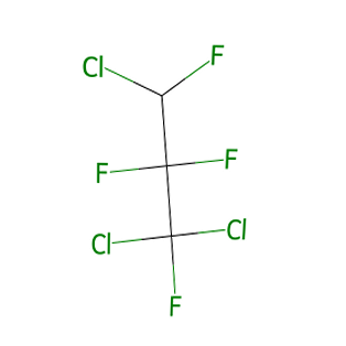 FC(Cl)C(F)(F)C(F)(Cl)Cl